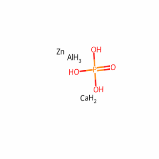 O=P(O)(O)O.[AlH3].[CaH2].[Zn]